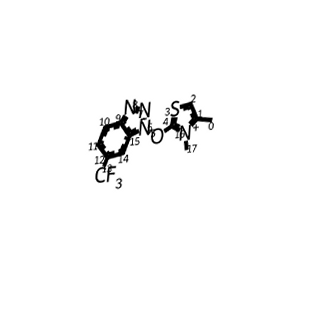 Cc1csc(On2nnc3ccc(C(F)(F)F)cc32)[n+]1C